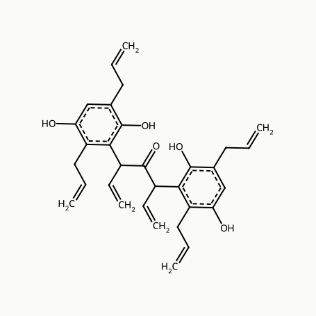 C=CCc1cc(O)c(CC=C)c(C(C=C)C(=O)C(C=C)c2c(O)c(CC=C)cc(O)c2CC=C)c1O